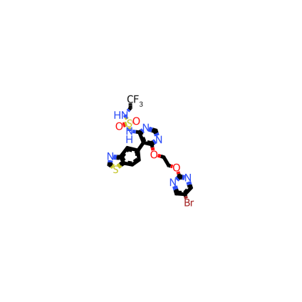 O=S(=O)(NCC(F)(F)F)Nc1ncnc(OCCOc2ncc(Br)cn2)c1-c1ccc2scnc2c1